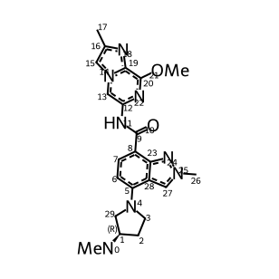 CN[C@@H]1CCN(c2ccc(C(=O)Nc3cn4cc(C)nc4c(OC)n3)c3nn(C)cc23)C1